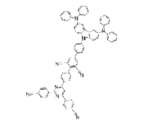 N#Cc1ccc(-c2cc(-c3ccc(-c4c(C#N)cc(-c5ccc(-n6c7ccc(N(c8ccccc8)c8ccccc8)cc7c7cc(N(c8ccccc8)c8ccccc8)ccc76)cc5)cc4C#N)cc3)nc(-c3ccc(C#N)cc3)n2)cc1